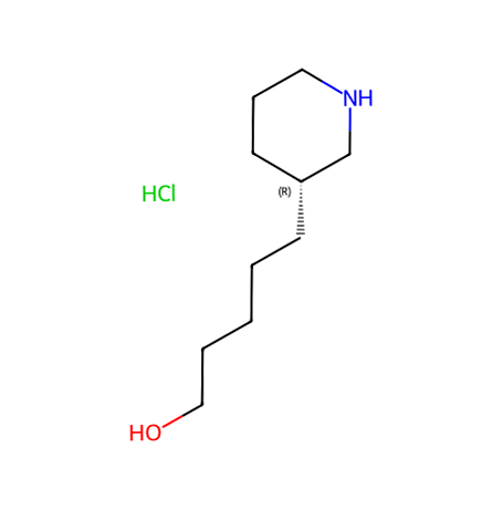 Cl.OCCCCC[C@@H]1CCCNC1